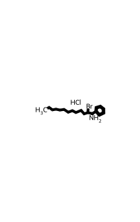 CCCCCCCCCCCC(Br)C(N)c1ccccc1.Cl